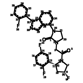 O=C1N(CC(=O)N2C[C@H](F)C[C@@H]2c2cc(F)ccc2F)CCN1c1cccc2c1cnn2-c1ccccc1F